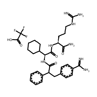 N=C(N)NCCC[C@H](NC(=O)[C@@H](NC(=O)C(Cc1ccc(C(=N)N)cc1)c1ccccc1)C1CCCCC1)C(N)=O.O=C(O)C(F)(F)F